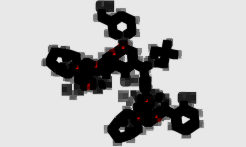 CC1(C)CN(C(C#Cc2cc(N3C4CCC3CN(c3cc(-c5ccccc5O)nnc3N)C4)ccn2)c2cccc(-c3cc(N4CC5CCC(C4)N5c4ccnc(C#CCN5CCCC(CO)C5)c4)c(N)nn3)c2O)C1